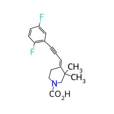 CC1(C)CN(C(=O)O)CC/C1=C\C#Cc1cc(F)ccc1F